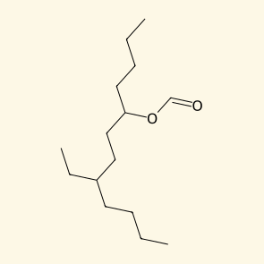 CCCCC(CC)CCC(CCCC)OC=O